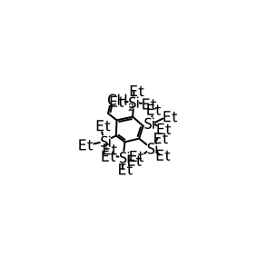 C=Cc1c([Si](CC)(CC)CC)c([Si](CC)(CC)CC)c([Si](CC)(CC)CC)c([Si](CC)(CC)CC)c1[Si](CC)(CC)CC